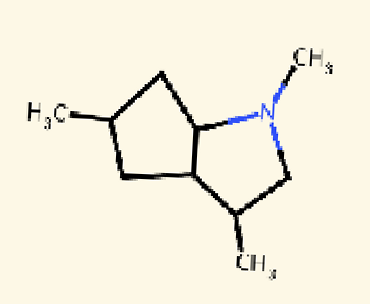 CC1CC2C(C)CN(C)C2C1